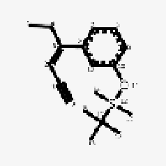 C#C/C=C(/CC)c1cccc(O[Si](C)(C)C(C)(C)C)c1